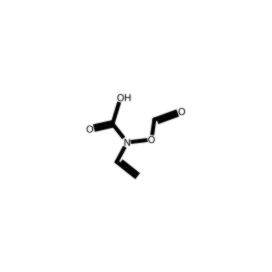 C=CN(OC=O)C(=O)O